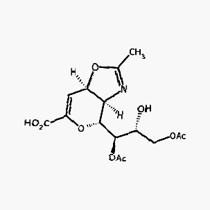 CC(=O)OC[C@@H](O)[C@@H](OC(C)=O)[C@@H]1OC(C(=O)O)=C[C@H]2OC(C)=N[C@@H]12